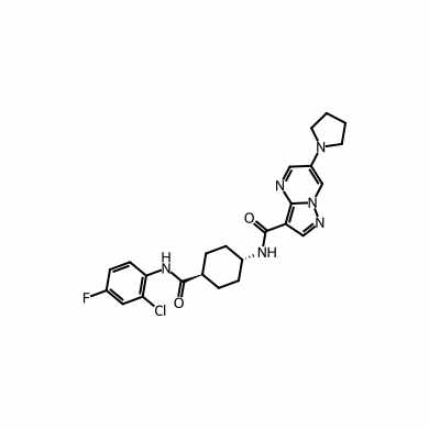 O=C(N[C@H]1CC[C@H](C(=O)Nc2ccc(F)cc2Cl)CC1)c1cnn2cc(N3CCCC3)cnc12